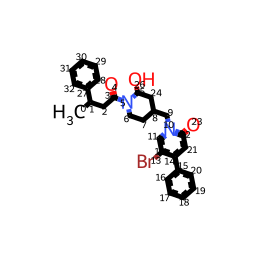 CC(CC(=O)N1CCC(Cn2cc(Br)c(-c3ccccc3)cc2=O)CC1O)c1ccccc1